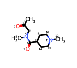 CC(=O)CN(C)C(=O)C1CCN(C)CC1